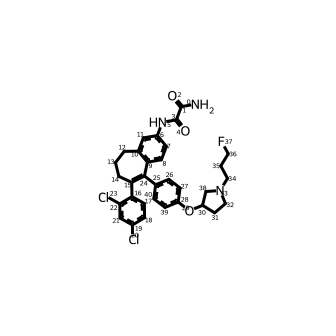 NC(=O)C(=O)Nc1ccc2c(c1)CCCC(c1ccc(Cl)cc1Cl)=C2c1ccc(OC2CCN(CCCF)C2)cc1